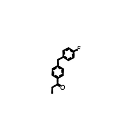 CCC(=O)c1ccc(Cc2ccc(F)cc2)cc1